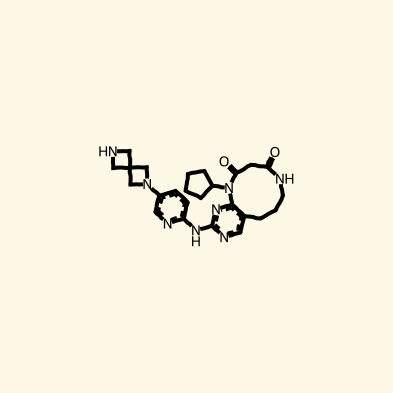 O=C1CC(=O)N(C2CCCC2)c2nc(Nc3ccc(N4CC5(CNC5)C4)cn3)ncc2CCCN1